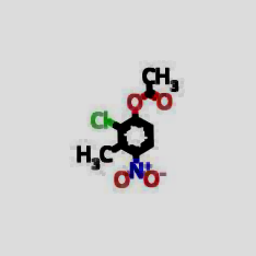 CC(=O)Oc1ccc([N+](=O)[O-])c(C)c1Cl